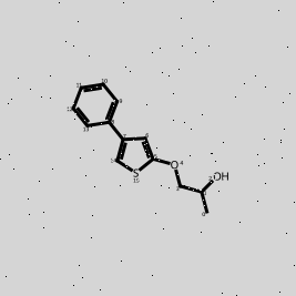 CC(O)COc1cc(-c2ccccc2)cs1